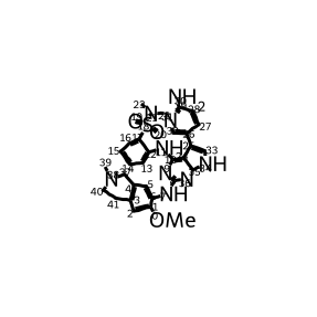 COc1cc2c(cc1Nc1nc(Nc3ccccc3S(=O)(=O)N(C)C)c3c(-c4ccc(N)nc4)c[nH]c3n1)CN(C)CC2